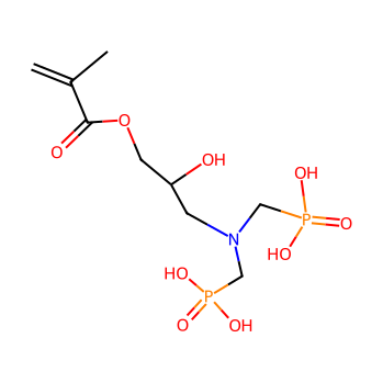 C=C(C)C(=O)OCC(O)CN(CP(=O)(O)O)CP(=O)(O)O